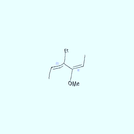 C/C=C(CC)\C(=C/C)OC